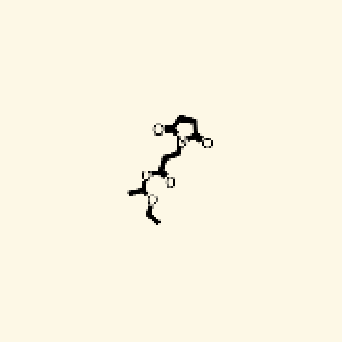 CCOC(C)OC(=O)CCN1C(=O)C=CC1=O